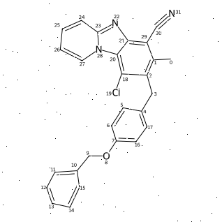 Cc1c(Cc2ccc(OCc3ccccc3)cc2)c(Cl)c2c(nc3ccccn32)c1C#N